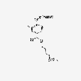 CCCCCOc1ccc(C(=O)OCCCCOC)cc1C